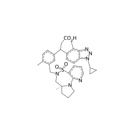 Cc1ccc(C(CC(=O)O)c2ccc3c(nnn3C3CC3)c2C)cc1CN1C[C@]2(C)CCCN2c2ncccc2S1(=O)=O